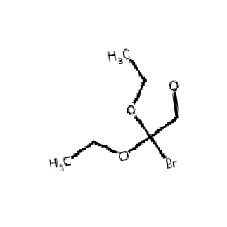 CCOC(Br)(C[O])OCC